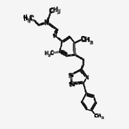 CCN(C)C=Nc1cc(C)c(Cc2nc(-c3ccc(C)cc3)ns2)cc1C